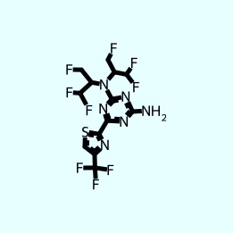 Nc1nc(-c2nc(C(F)(F)F)cs2)nc(N(C(CF)C(F)F)C(CF)C(F)F)n1